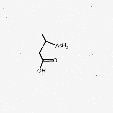 CC([AsH2])CC(=O)O